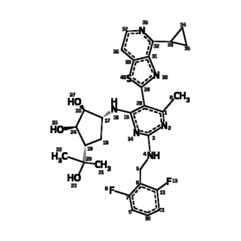 Cc1nc(NCc2c(F)cccc2F)nc(N[C@@H]2C[C@H](C(C)(C)O)[C@@H](O)[C@H]2O)c1-c1nc2c(C3CC3)nccc2s1